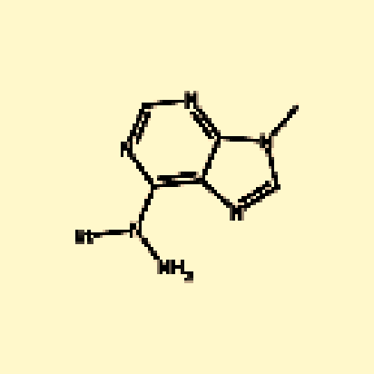 CCN(N)c1ncnc2c1ncn2C